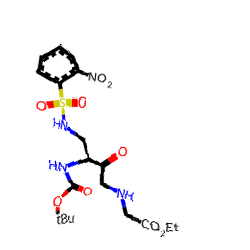 CCOC(=O)CNCC(=O)[C@H](CNS(=O)(=O)c1ccccc1[N+](=O)[O-])NC(=O)OC(C)(C)C